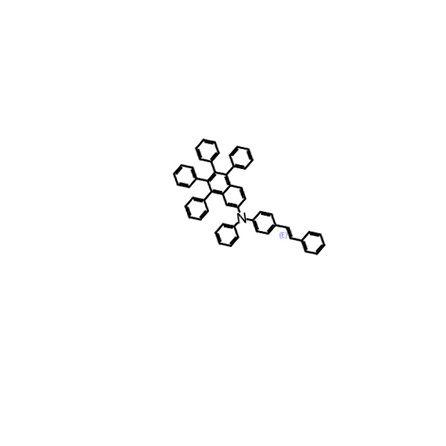 C(=C\c1ccc(N(c2ccccc2)c2ccc3c(-c4ccccc4)c(-c4ccccc4)c(-c4ccccc4)c(-c4ccccc4)c3c2)cc1)/c1ccccc1